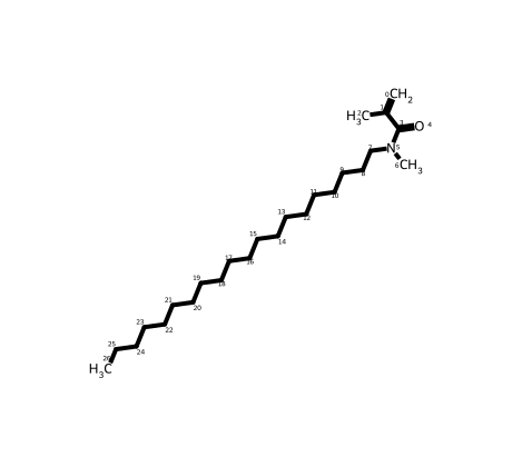 C=C(C)C(=O)N(C)CCCCCCCCCCCCCCCCCCCC